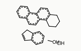 C1=Cc2ccccc2C1.CO.Cl.c1ccc2c(c1)ccc1c3c(ccc12)CCCC3